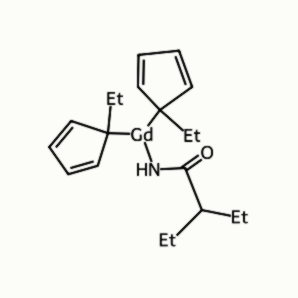 CCC(CC)C(=O)[NH][Gd]([C]1(CC)C=CC=C1)[C]1(CC)C=CC=C1